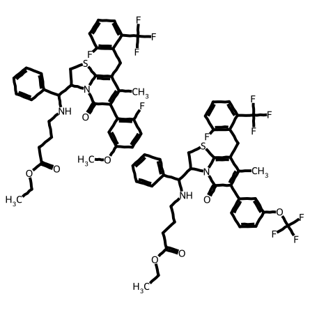 CCOC(=O)CCCNC(c1ccccc1)C1CSc2c(Cc3c(F)cccc3C(F)(F)F)c(C)c(-c3cc(OC)ccc3F)c(=O)n21.CCOC(=O)CCCNC(c1ccccc1)C1CSc2c(Cc3c(F)cccc3C(F)(F)F)c(C)c(-c3cccc(OC(F)(F)F)c3)c(=O)n21